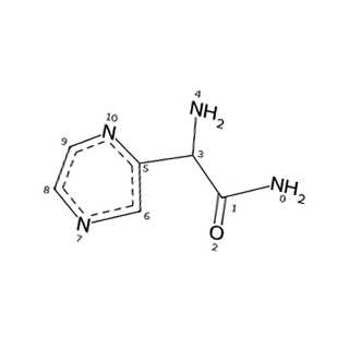 NC(=O)C(N)c1cnccn1